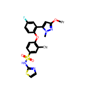 CC(C)Oc1cc(-c2cc(F)ccc2Oc2ccc(S(=O)(=O)Nc3nccs3)cc2C#N)n(C)n1